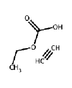 C#C.CCOC(=O)O